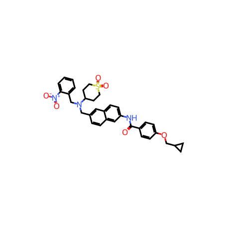 O=C(Nc1ccc2cc(CN(Cc3ccccc3[N+](=O)[O-])C3CCS(=O)(=O)CC3)ccc2c1)c1ccc(OCC2CC2)cc1